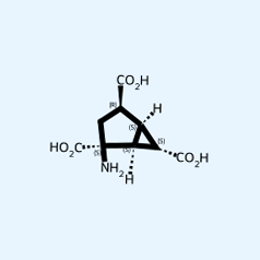 N[C@@]1(C(=O)O)C[C@@H](C(=O)O)[C@H]2[C@H](C(=O)O)[C@H]21